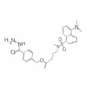 C=C(CCCN(C)S(=O)(=O)c1cccc2c(N(C)C)cccc12)OCc1ccc(C(=O)NN)cc1